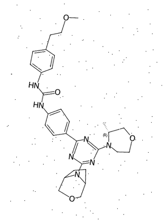 COCCc1ccc(NC(=O)Nc2ccc(-c3nc(N4C5CCC4COC5)nc(N4CCOC[C@H]4C)n3)cc2)cc1